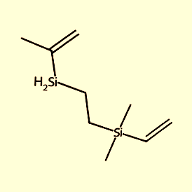 C=C[Si](C)(C)CC[SiH2]C(=C)C